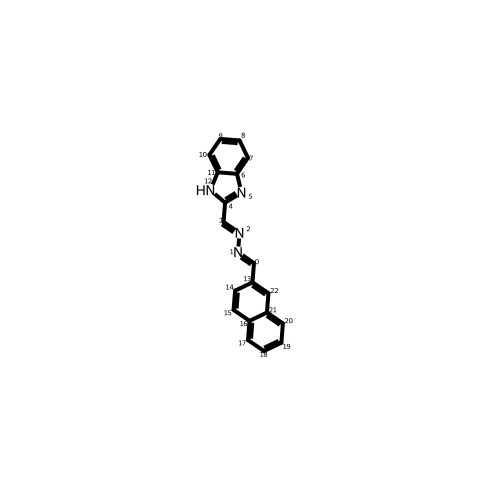 C(=N\N=C\c1nc2ccccc2[nH]1)/c1ccc2ccccc2c1